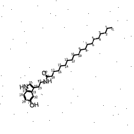 CCCCCCCCCCCCCCCCCCCC(=O)NCCc1c[nH]c2ccc(O)cc12